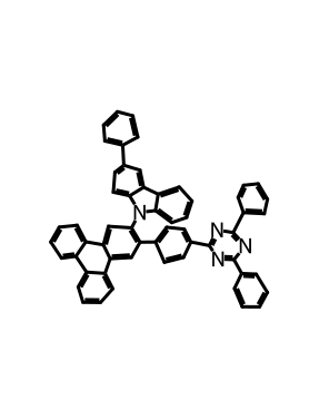 c1ccc(-c2ccc3c(c2)c2ccccc2n3-c2cc3c4ccccc4c4ccccc4c3cc2-c2ccc(-c3nc(-c4ccccc4)nc(-c4ccccc4)n3)cc2)cc1